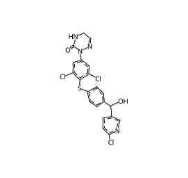 O=C1NCC=NN1c1cc(Cl)c(Sc2ccc(C(O)c3ccc(Cl)nc3)cc2)c(Cl)c1